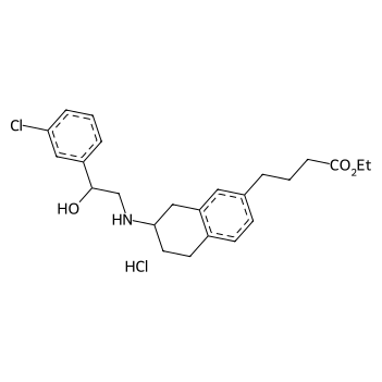 CCOC(=O)CCCc1ccc2c(c1)CC(NCC(O)c1cccc(Cl)c1)CC2.Cl